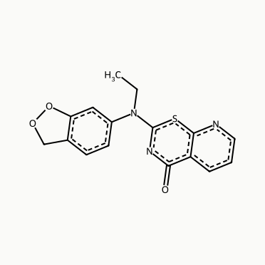 CCN(c1ccc2c(c1)OOC2)c1nc(=O)c2cccnc2s1